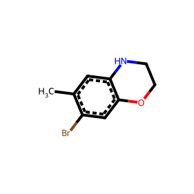 Cc1cc2c(cc1Br)OCCN2